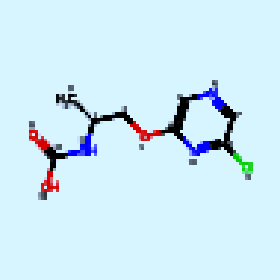 C[C@H](COc1cncc(Cl)n1)NC(=O)O